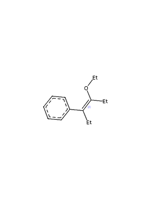 CCO/C(CC)=C(/CC)c1ccccc1